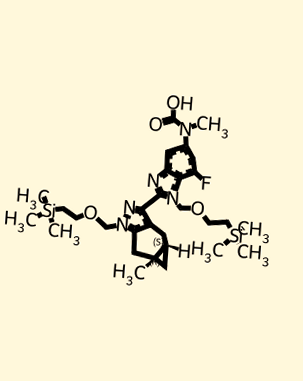 CN(C(=O)O)c1cc(F)c2c(c1)nc(-c1nn(COCC[Si](C)(C)C)c3c1C[C@@H]1C[C@]1(C)C3)n2COCC[Si](C)(C)C